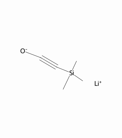 C[Si](C)(C)C#C[O-].[Li+]